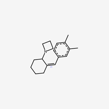 Cc1ccc(/C=C2/CCCCC2N2CCC2)cc1C